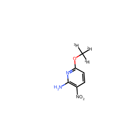 [2H]C([2H])([2H])Oc1ccc([N+](=O)[O-])c(N)n1